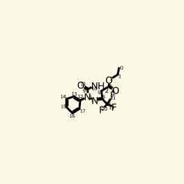 CCOC(=O)CC(=NN(C(N)=O)c1ccccc1)C(F)(F)F